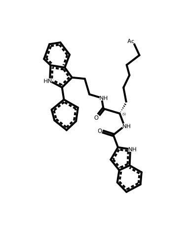 CC(=O)CCCCC[C@H](NC(=O)c1cc2ccccc2[nH]1)C(=O)NCCc1c(-c2ccccc2)[nH]c2ccccc12